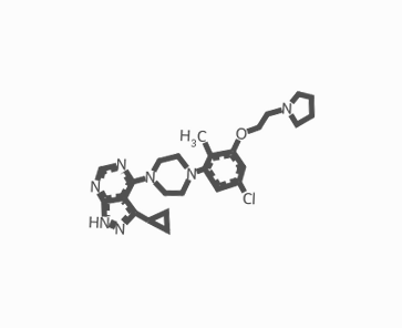 Cc1c(OCCN2CCCC2)cc(Cl)cc1N1CCN(c2ncnc3[nH]nc(C4CC4)c23)CC1